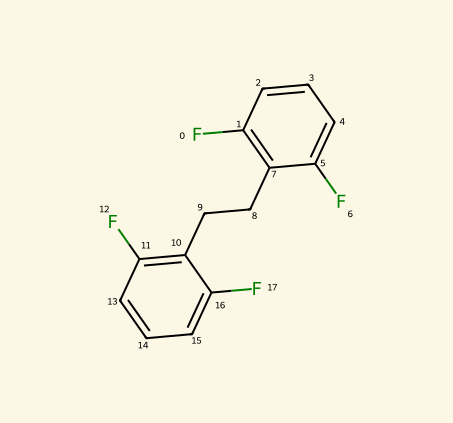 Fc1cccc(F)c1CCc1c(F)cccc1F